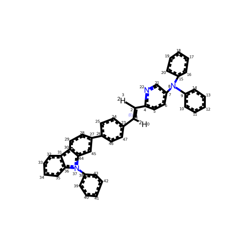 [2H]/C(=C(/[2H])c1ccc(N(c2ccccc2)c2ccccc2)cn1)c1ccc(-c2ccc3c4ccccc4n(-c4ccccc4)c3c2)cc1